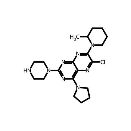 CC1CCCCN1c1nc2nc(N3CCNCC3)nc(N3CCCC3)c2nc1Cl